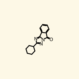 O=C1c2ccccc2-c2nc(C3CCCCC3)nn21